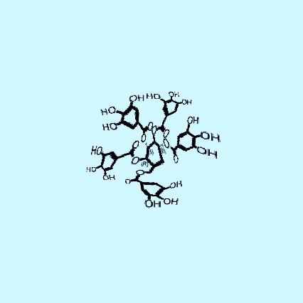 O=C(OCC1C[C@@H](OC(=O)c2cc(O)c(O)c(O)c2)C(OC(=O)c2cc(O)c(O)c(O)c2)[C@@H](OC(=O)c2cc(O)c(O)c(O)c2)[C@@H]1OC(=O)c1cc(O)c(O)c(O)c1)c1cc(O)c(O)c(O)c1